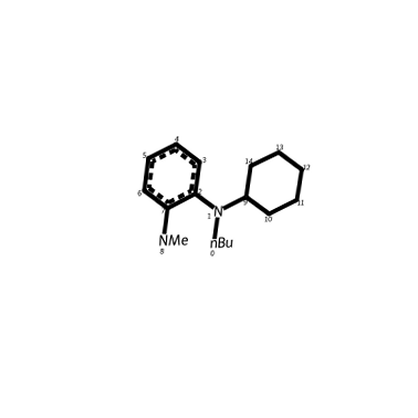 CCCCN(c1ccccc1NC)C1CCCCC1